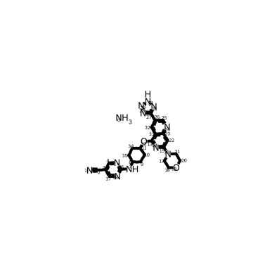 N.N#Cc1cnc(NC2CCC(Oc3nc(N4CCOCC4)cc4ncc(-c5nn[nH]n5)cc34)CC2)nc1